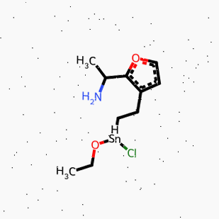 CC[O][SnH]([Cl])[CH2]Cc1ccoc1C(C)N